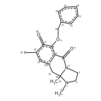 CN1CCN2C(=O)c3c(OCc4ccccc4)c(=O)c(I)cn3CC12C